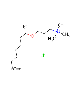 CCCCCCCCCCCCCCCC(CC)OCCC[N+](C)(C)C.[Cl-]